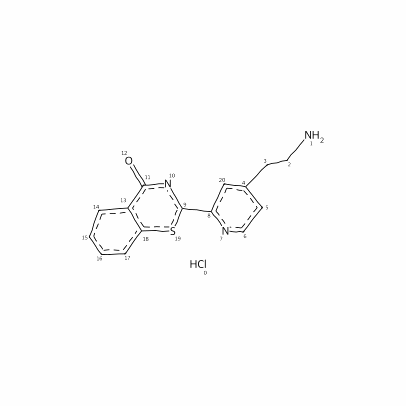 Cl.NCCc1ccnc(-c2nc(=O)c3ccccc3s2)c1